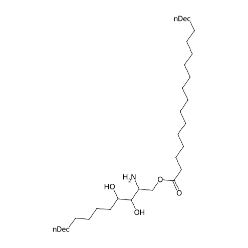 CCCCCCCCCCCCCCCCCCCCCCCC(=O)OCC(N)C(O)C(O)CCCCCCCCCCCCCC